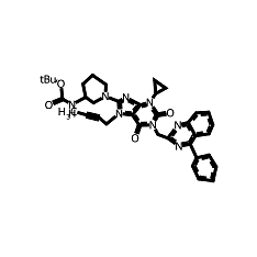 CC#CCn1c(N2CCCC(NC(=O)OC(C)(C)C)C2)nc2c1c(=O)n(Cc1nc(-c3ccccc3)c3ccccc3n1)c(=O)n2C1CC1